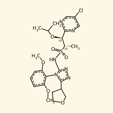 COc1cccc(OC)c1-n1c(NS(=O)(=O)[C@@H](C)[C@@H](OC(C)C)c2ncc(Cl)cn2)nnc1C1CCOC1